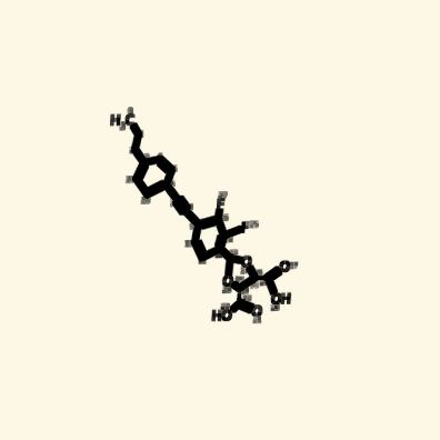 CCCc1ccc(C#Cc2ccc(C3O[C@@H](C(=O)O)[C@H](C(=O)O)O3)c(F)c2F)cc1